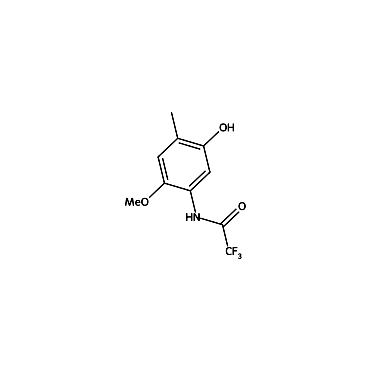 COc1cc(C)c(O)cc1NC(=O)C(F)(F)F